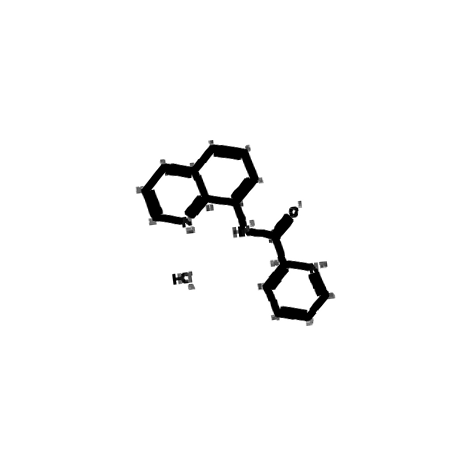 Cl.O=C(Nc1cccc2cccnc12)c1ccccn1